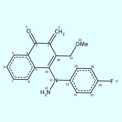 C=C1C(=O)c2ccccc2C(N(N)c2ccc(F)cc2)=C1COC